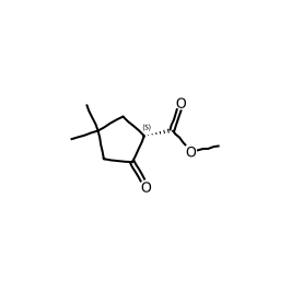 COC(=O)[C@H]1CC(C)(C)CC1=O